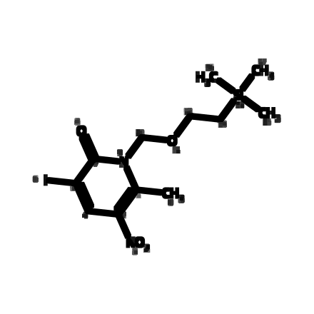 Cc1c([N+](=O)[O-])cc(I)c(=O)n1COCC[Si](C)(C)C